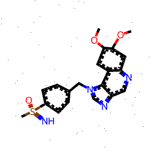 COc1cc2ncc3ncn(Cc4ccc(S(C)(=N)=O)cc4)c3c2cc1OC